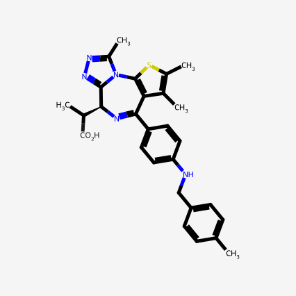 Cc1ccc(CNc2ccc(C3=N[C@@H](C(C)C(=O)O)c4nnc(C)n4-c4sc(C)c(C)c43)cc2)cc1